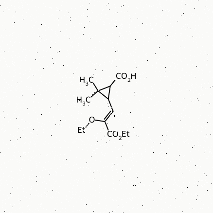 CCOC(=O)C(=CC1C(C(=O)O)C1(C)C)OCC